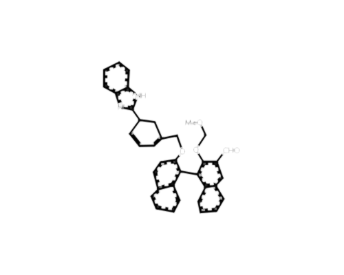 COCOc1c(C=O)cc2ccccc2c1-c1c(OCC2=CC=CC(c3nc4ccccc4[nH]3)C2)ccc2ccccc12